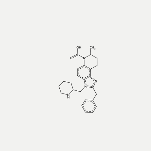 CC1CCc2c(ccc3c2nc(Cc2ccccc2)n3CC2CCCCN2)N1C(=O)O